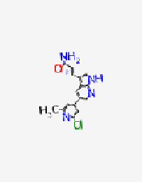 Cc1cc(-c2cnc3[nH]cc(/C=C/C(N)=O)c3c2)cc(Cl)n1